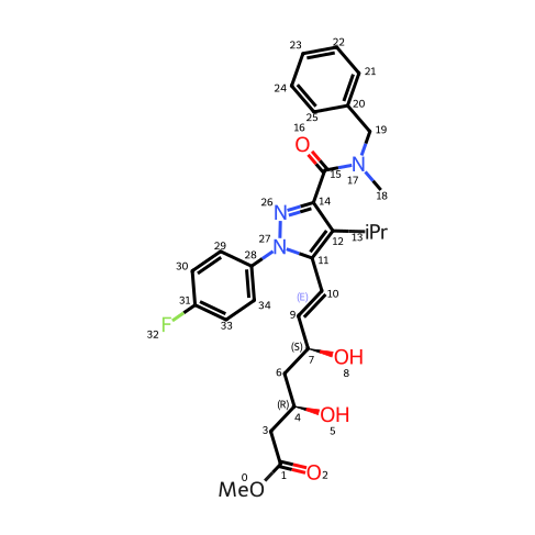 COC(=O)C[C@H](O)C[C@H](O)/C=C/c1c(C(C)C)c(C(=O)N(C)Cc2ccccc2)nn1-c1ccc(F)cc1